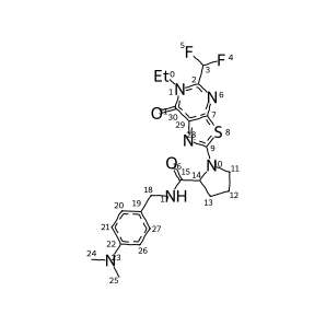 CCn1c(C(F)F)nc2sc(N3CCCC3C(=O)NCc3ccc(N(C)C)cc3)nc2c1=O